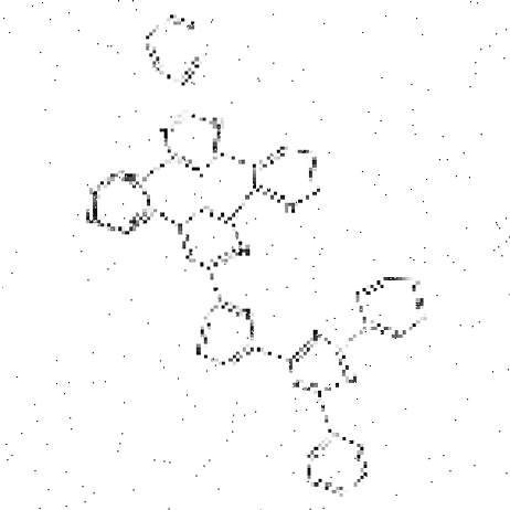 c1ccc(-c2cc(-c3cccc(-c4cc(-c5ccccc5)nc(-c5ccccc5)n4)n3)nc(-c3ncccc3-c3nc(-c4ccccc4)nc(-c4ccccc4)n3)c2)cc1